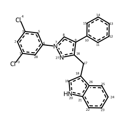 Clc1cc(Cl)cc(-n2cc(-c3ccccc3)c(Cc3c[nH]c4ccccc34)n2)c1